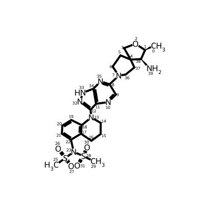 C[C@@H]1OCC2(CCN(c3cnc4c(N5CCCc6c5cccc6N(S(C)(=O)=O)S(C)(=O)=O)n[nH]c4n3)CC2)[C@@H]1N